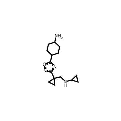 NC1CCC(c2nc(C3(CNC4CC4)CC3)no2)CC1